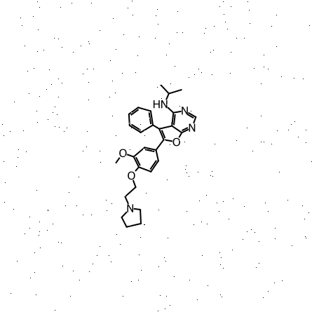 COc1cc(-c2oc3ncnc(NC(C)C)c3c2-c2ccccc2)ccc1OCCN1CCCC1